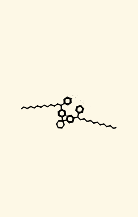 CCCCCCCCCCCCC(c1ccc(N)cc1)c1ccc(C2(c3ccc(C(CCCCCCCCCCCC)c4ccc(N)cc4)cc3)CCCCC2)cc1